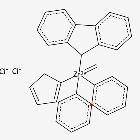 [CH2]=[Zr+2]([C]1=CC=CC1)([c]1ccccc1)([c]1ccccc1)[CH]1c2ccccc2-c2ccccc21.[Cl-].[Cl-]